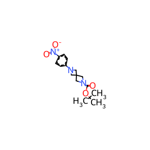 CC(C)(C)OC(=O)N1CC2(C1)CN(c1ccc([N+](=O)[O-])cc1)C2